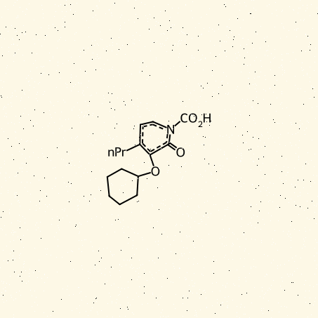 CCCc1ccn(C(=O)O)c(=O)c1OC1CCCCC1